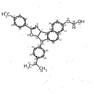 Cc1ccc(C2=NC3c4c(ccc5cc(OBO)ccc45)N(c4ccc(C(C)C)cc4)C3O2)cc1